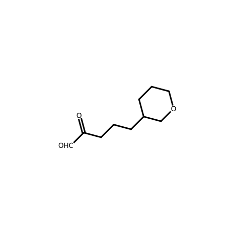 O=CC(=O)CCCC1CCCOC1